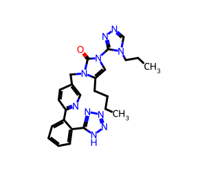 CCCCc1cn(-c2nncn2CCC)c(=O)n1Cc1ccc(-c2ccccc2-c2nnn[nH]2)nc1